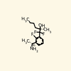 CCCC[C@@](C)(O)C(F)(F)c1cccc([C@@H](C)N)c1F